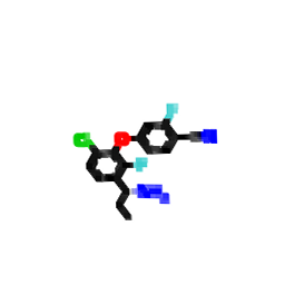 CC[C@@H](N)c1ccc(Cl)c(Oc2ccc(C#N)c(F)c2)c1F